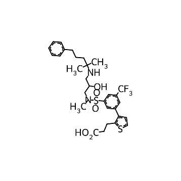 CN(CC(O)CNC(C)(C)CCCc1ccccc1)S(=O)(=O)c1cc(-c2ccsc2CCC(=O)O)cc(C(F)(F)F)c1